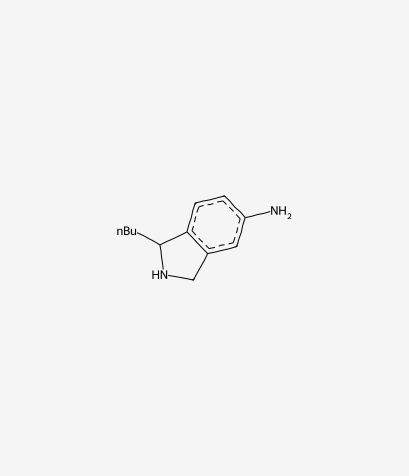 CCCCC1NCc2cc(N)ccc21